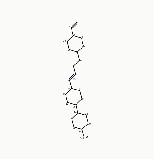 C=CC1CCC(CC/C=C/C2CCC(C3CCC(CCC)CC3)CC2)CC1